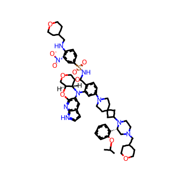 CC(C)Oc1ccccc1[C@H]1CN(CC2CCOCC2)CCN1C1CC2(CCN(c3ccc(C(=O)NS(=O)(=O)c4ccc(NCC5CCOCC5)c([N+](=O)[O-])c4)c(N4c5cc6cc[nH]c6nc5O[C@H]5COCC[C@@H]54)c3)CC2)C1